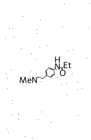 CCC(=O)Nc1ccc(CCNC)cc1